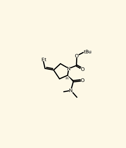 CCC=C1C[C@H](C(=O)N(C)C)N(C(=O)OC(C)(C)C)C1